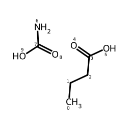 CCCC(=O)O.NC(=O)O